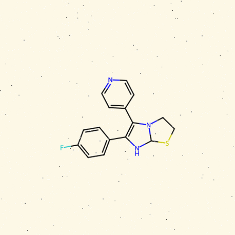 Fc1ccc(C2=C(c3ccncc3)N3CCSC3N2)cc1